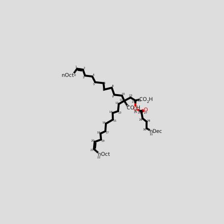 CCCCCCCC/C=C\CCCCCCCCC(CCCCCCCC/C=C\CCCCCCCC)(CC(OC(=O)CCCCCCCCCCCCC)C(=O)O)C(=O)O